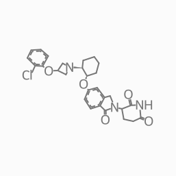 O=C1CCC(N2Cc3cc(O[C@@H]4CCCC[C@@H]4N4CC(Oc5ccccc5Cl)C4)ccc3C2=O)C(=O)N1